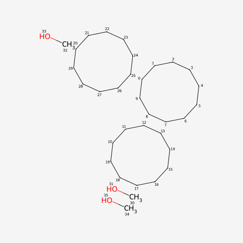 C1CCCCCCCCC1.C1CCCCCCCCC1.C1CCCCCCCCC1.CO.CO.CO